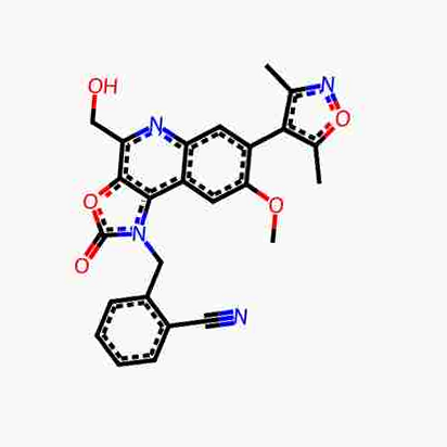 COc1cc2c(cc1-c1c(C)noc1C)nc(CO)c1oc(=O)n(Cc3ccccc3C#N)c12